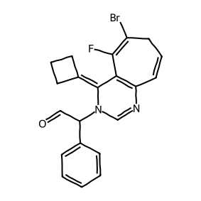 O=CC(c1ccccc1)N1C=NC2=C(C(F)=C(Br)CC=C2)C1=C1CCC1